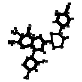 Cc1nc2c(-c3ccc(Cl)cc3F)nc([C@@H]3CCO[C@H](c4ccc(=O)[nH]c4)C3)cn2c(=O)c1C